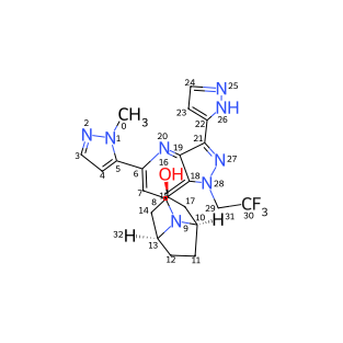 Cn1nccc1-c1cc(N2[C@@H]3CC[C@H]2C[C@@H](O)C3)c2c(n1)c(-c1ccn[nH]1)nn2CC(F)(F)F